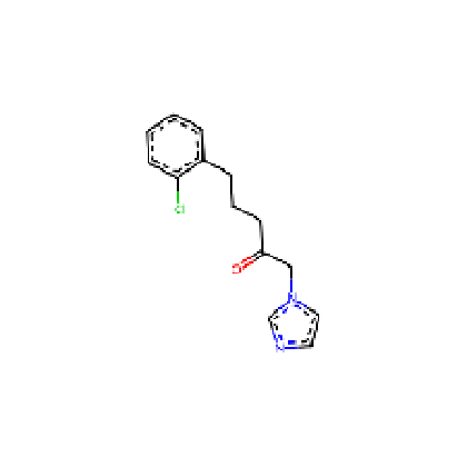 O=C(CCCc1ccccc1Cl)Cn1ccnc1